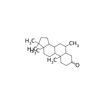 CC1CC2C(CCC3(C)C2CCC3(C)C)C2(C)CCC(=O)CC12